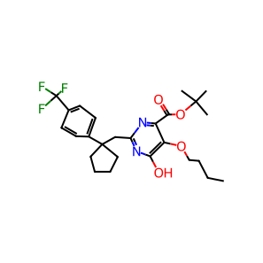 CCCCOc1c(O)nc(CC2(c3ccc(C(F)(F)F)cc3)CCCC2)nc1C(=O)OC(C)(C)C